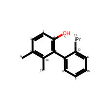 Cc1ccc(O)c(-c2ccccc2C(C)C)c1C